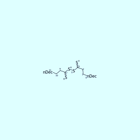 CCCCCCCCCCCCC(=S)SSC(=S)CCCCCCCCCCCC